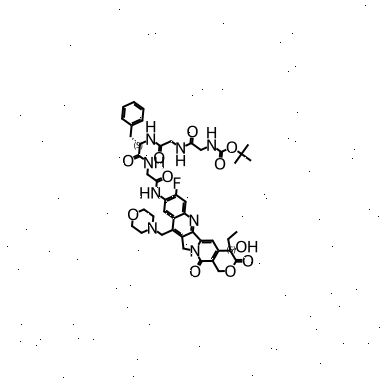 CC[C@@]1(O)C(=O)OCc2c1cc1n(c2=O)Cc2c-1nc1cc(F)c(NC(=O)CNC(=O)[C@H](Cc3ccccc3)NC(=O)CNC(=O)CNC(=O)OC(C)(C)C)cc1c2CN1CCOCC1